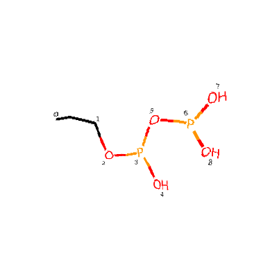 CCOP(O)OP(O)O